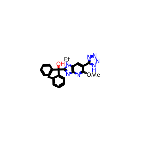 CCn1c(C(O)(c2ccccc2)c2ccccc2C)nc2nc(OC)c(-c3nnn[nH]3)cc21